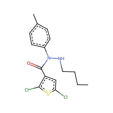 CCCCNN(C(=O)c1cc(Cl)sc1Cl)c1ccc(C)cc1